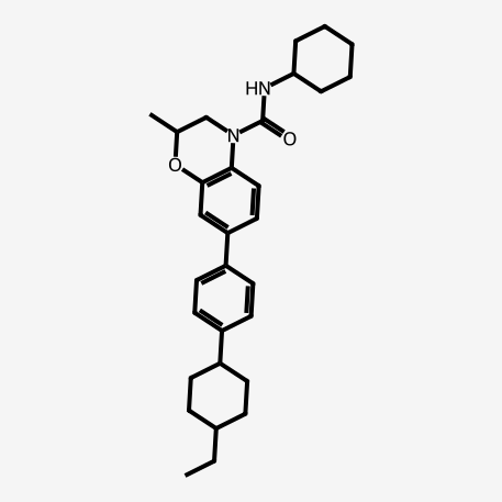 CCC1CCC(c2ccc(-c3ccc4c(c3)OC(C)CN4C(=O)NC3CCCCC3)cc2)CC1